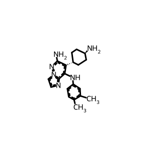 Cc1ccc(Nc2c3nccn3nc(N)c2[C@H]2CC[C@H](N)CC2)cc1C